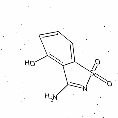 NC1=NS(=O)(=O)c2cccc(O)c21